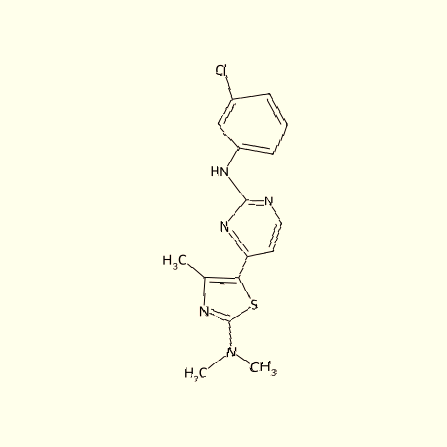 Cc1nc(N(C)C)sc1-c1ccnc(Nc2cccc(Cl)c2)n1